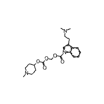 CN(C)CCc1cn(C(=O)OCOC(=O)OC2CCN(C)CC2)c2ccccc12